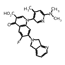 Cc1cc(N(C)C)ncc1-n1cc(C(=O)O)c(=O)c2cc(F)c(N3Cc4cccnc4C3)cc21